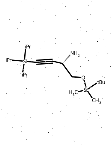 CC(C)[Si](C#C[C@H](N)CO[Si](C)(C)C(C)(C)C)(C(C)C)C(C)C